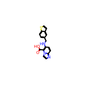 O=C(O)c1c(NCc2ccc3sccc3c2)ccc2nccn12